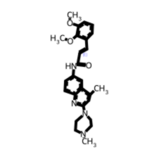 COc1cccc(/C=C/C(=O)Nc2ccc3nc(N4CCN(C)CC4)cc(C)c3c2)c1OC